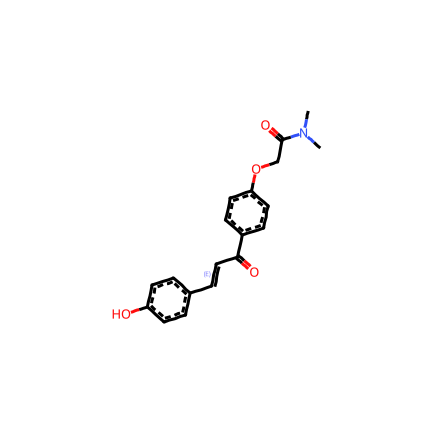 CN(C)C(=O)COc1ccc(C(=O)/C=C/c2ccc(O)cc2)cc1